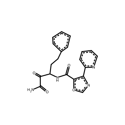 NC(=O)C(=O)C(CCc1ccccc1)NC(=O)c1ocnc1-c1ccccn1